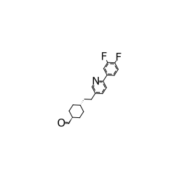 O=C[C@H]1CC[C@H](CCc2ccc(-c3ccc(F)c(F)c3)nc2)CC1